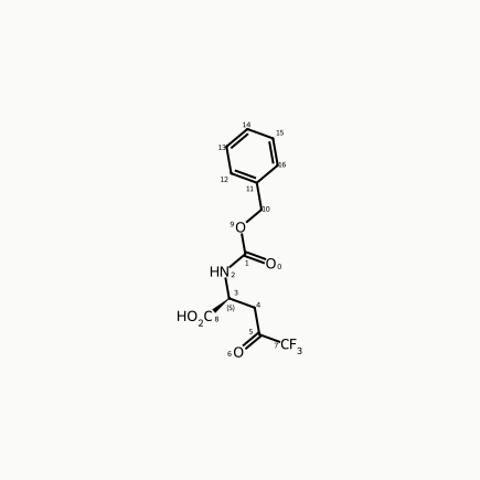 O=C(N[C@@H](CC(=O)C(F)(F)F)C(=O)O)OCc1ccccc1